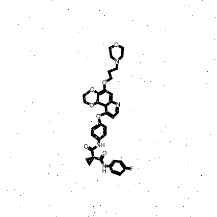 O=C(Nc1ccc(F)cc1)C1(C(=O)Nc2ccc(OC3=CC=NC4=CC(OCCCN5CCOCC5)=C5OCCOC5C43)cc2)CC1